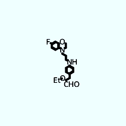 CCO[C@H](C=O)Cc1ccc(NCCCN2CCOc3cc(F)ccc32)cc1